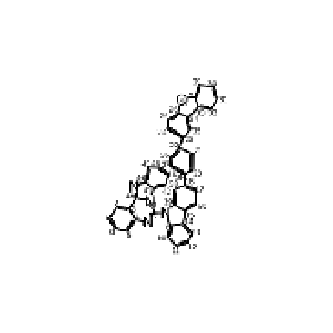 c1ccc2c(c1)nc(-n1c3ccccc3c3ccc(-c4ccc(-c5ccc6oc7ccccc7c6c5)cc4)cc31)n1c3ccccc3nc21